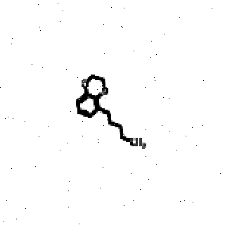 [CH2]CCCCc1cccc2c1OCCO2